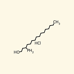 CCCCCCCCCCCCCC(P)CCO.Cl